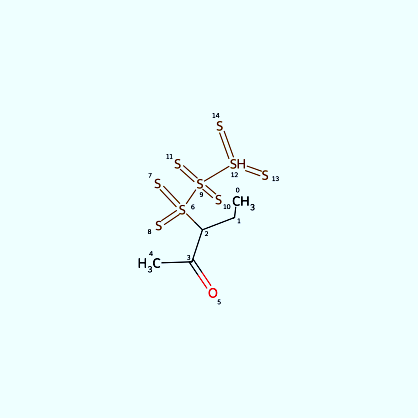 CCC(C(C)=O)S(=S)(=S)S(=S)(=S)[SH](=S)=S